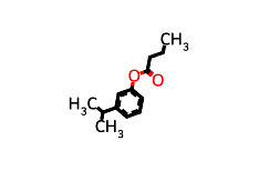 CCCC(=O)Oc1cccc(C(C)C)c1